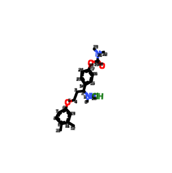 CNC(CCOc1ccc(C)c(C)c1)c1ccc(OC(=O)N(C)C)cc1.Cl